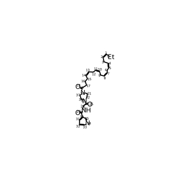 CC/C=C\C/C=C\C/C=C\C/C=C\C/C=C\CCCC(=O)N1CCN(C(=O)CNC(=O)c2cccnc2)CC1